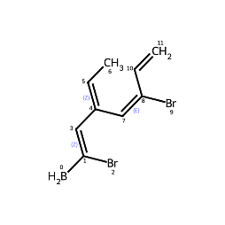 B/C(Br)=C/C(=C/C)/C=C(/Br)C=C